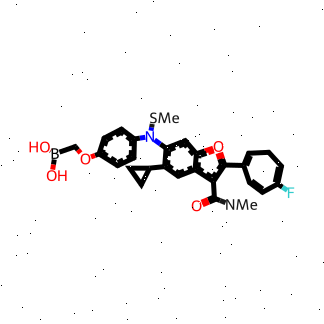 CNC(=O)c1c(C2=CCC=C(F)C=C2)oc2cc(N(SC)c3ccc(OCB(O)O)cc3)c(C3CC3)cc12